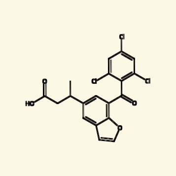 CC(CC(=O)O)c1cc(C(=O)c2c(Cl)cc(Cl)cc2Cl)c2occc2c1